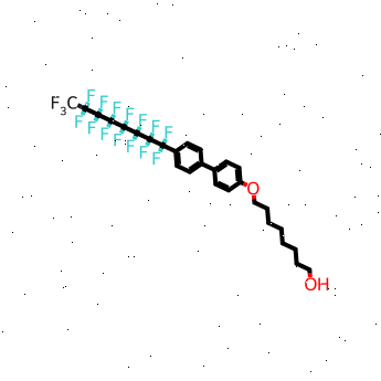 OCCCCCCCCOc1ccc(-c2ccc(C(F)(F)C(F)(F)C(F)(F)C(F)(F)C(F)(F)C(F)(F)C(F)(F)C(F)(F)F)cc2)cc1